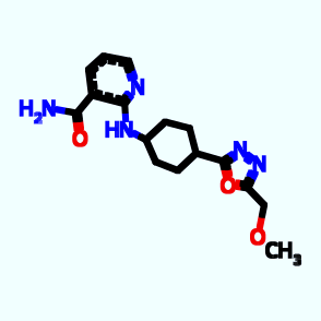 COCc1nnc(C2CCC(Nc3ncccc3C(N)=O)CC2)o1